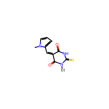 CCN1C(=O)C(=Cc2cccn2C)C(=O)NC1=S